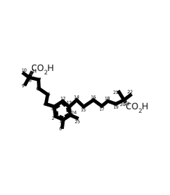 Cc1cc(CCCCC(C)(C)C(=O)O)cc(CCCCCCC(C)(C)C(=O)O)c1C